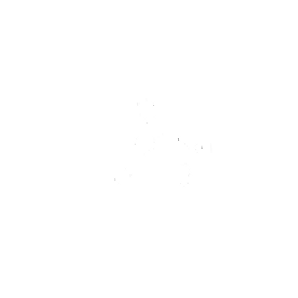 O=C(O)c1ccoc1.c1ccc(C2CCCc3c2ccc2c3ccc3ccccc32)cc1